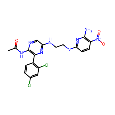 CC(=O)Nc1ncc(NCCNc2ccc([N+](=O)[O-])c(N)n2)nc1-c1ccc(Cl)cc1Cl